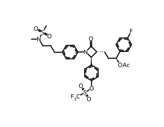 CC(=O)O[C@@H](CC[C@H]1C(=O)N(c2ccc(CCCN(C)S(C)(=O)=O)cc2)[C@@H]1c1ccc(OS(=O)(=O)C(F)(F)F)cc1)c1ccc(F)cc1